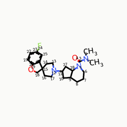 CN(C)C(=O)N1CCCC2CC(N3CCC4(CC3)COc3ccc(F)cc34)CC21